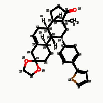 C[C@]12C[C@H](c3ccc(-c4cccs4)cc3)[C@H]3[C@@H](CC=C4CC5(CC[C@@H]43)OCCO5)[C@@H]1CCC2=O